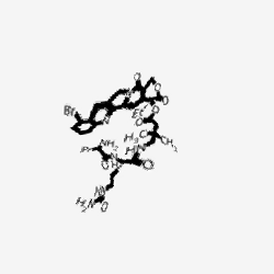 CC[C@@]1(OC(=O)CC(C)(C)CNC(=O)[C@H](CCCNC(N)=O)NC(=O)C(N)C(C)C)C(=O)OCc2c1cc1n(c2=O)Cc2cc3c(Br)cccc3nc2-1